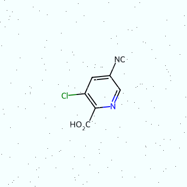 [C-]#[N+]c1cnc(C(=O)O)c(Cl)c1